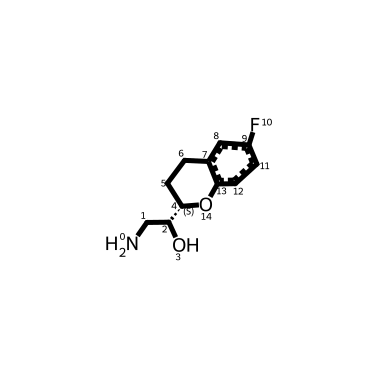 NCC(O)[C@@H]1CCc2cc(F)ccc2O1